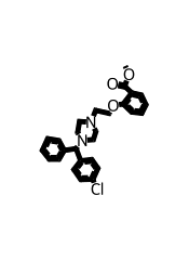 COC(=O)c1ccccc1OCCN1CCN(C(c2ccccc2)c2ccc(Cl)cc2)CC1